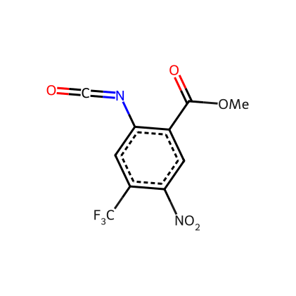 COC(=O)c1cc([N+](=O)[O-])c(C(F)(F)F)cc1N=C=O